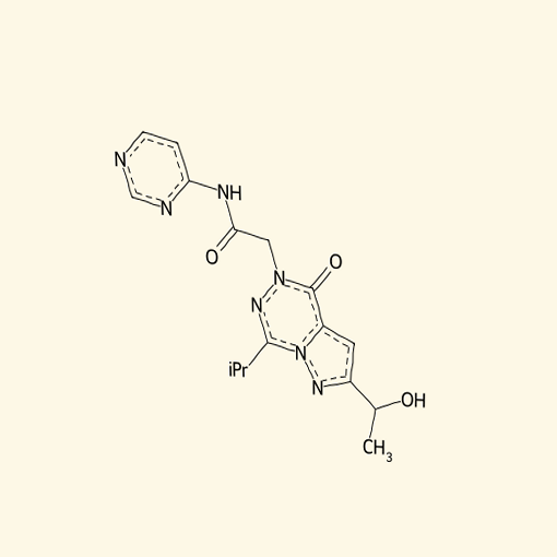 CC(C)c1nn(CC(=O)Nc2ccncn2)c(=O)c2cc(C(C)O)nn12